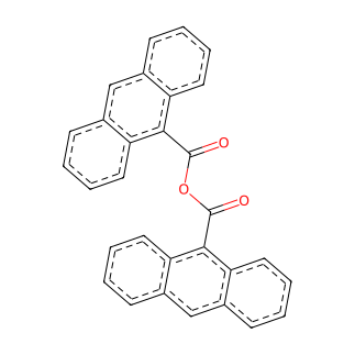 O=C(OC(=O)c1c2ccccc2cc2ccccc12)c1c2ccccc2cc2ccccc12